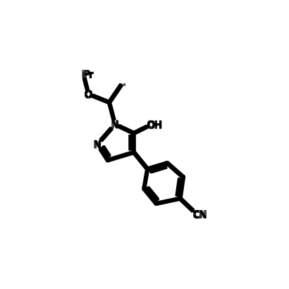 [CH2]C(OC(C)C)n1ncc(-c2ccc(C#N)cc2)c1O